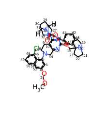 COCOc1cc(N2CCc3c(nc(OCC45CCCN4CCC5)nc3N3C[C@H]4CC[C@@H](C3)N4C(=O)OCc3ccccc3)C2)c2c(Cl)cccc2c1